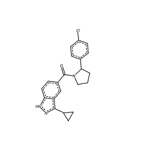 O=C(c1ccc2[nH]nc(C3CC3)c2c1)N1CCCC1c1ccc(Cl)cc1